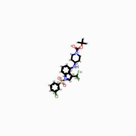 CC(C)(C)OC(=O)N1CCC(Nc2cccc3c2c(C(F)F)cn3S(=O)(=O)c2cccc(Cl)c2)CC1